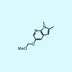 COCOc1cnc2c(c1)cc(C)n2C